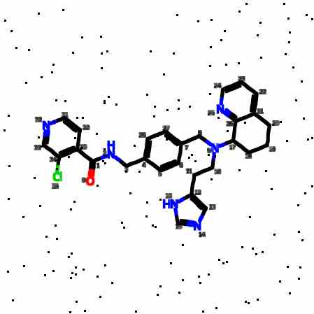 O=C(NCc1ccc(CN(CCc2cnc[nH]2)C2CCCc3cccnc32)cc1)c1ccncc1Cl